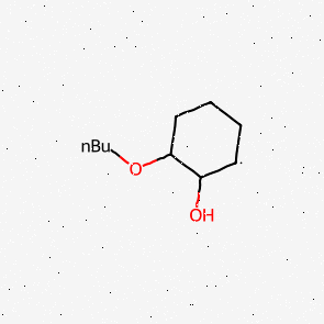 CCCCOC1CCC[CH]C1O